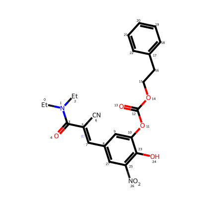 CCN(CC)C(=O)/C(C#N)=C/c1cc(OC(=O)OCCc2ccccc2)c(O)c([N+](=O)[O-])c1